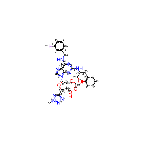 Cn1nnc([C@H]2O[C@@H](n3cnc4c(NCc5cccc(I)c5)nc(N[C@H](CO)Cc5ccccc5)nc43)[C@H](OC=O)[C@@H]2O)n1